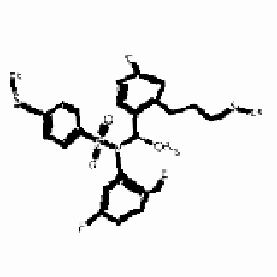 CCSCCCc1cc(F)ccc1[C@@H](C)N(c1cc(F)ccc1F)S(=O)(=O)c1ccc(SCC)cc1